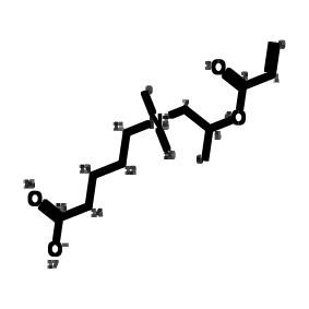 C=CC(=O)OC(C)C[N+](C)(C)CCCCC(=O)[O-]